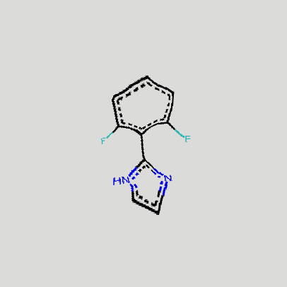 Fc1cccc(F)c1-c1ncc[nH]1